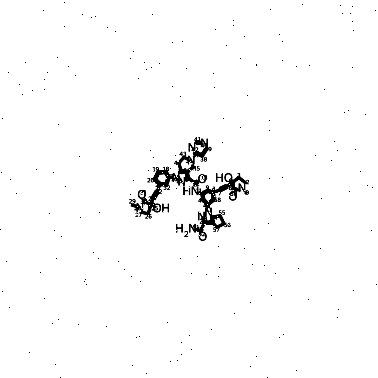 CN1CC[C@@](O)(C#Cc2cc(NC(=O)c3nn(-c4cccc(C#C[C@]5(O)CCN(C)C5=O)c4)c4c3CN(c3ccncn3)CC4)cc(-n3nc(C(N)=O)c4c3CCC4)c2)C1=O